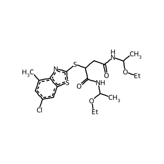 CCOC(C)NC(=O)CC(Sc1nc2c(C)cc(Cl)cc2s1)C(=O)NC(C)OCC